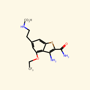 NC(=O)c1sc2cc(CCNC(=O)O)cc(OCC(F)(F)F)c2c1N